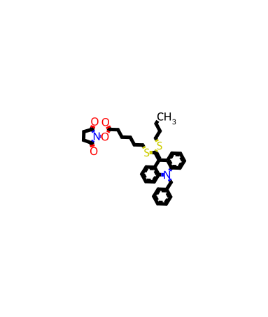 CCCCSC(SCCCCCC(=O)ON1C(=O)CCC1=O)=C1c2ccccc2N(Cc2ccccc2)c2ccccc21